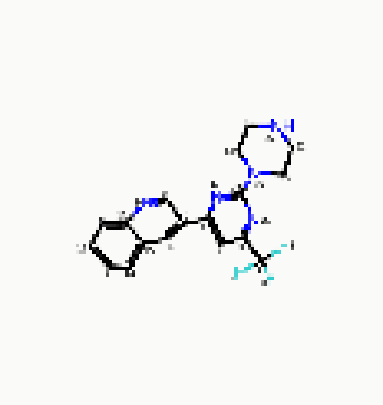 FC(F)(F)c1cc(-c2cnc3ccccc3c2)nc(N2CCNCC2)n1